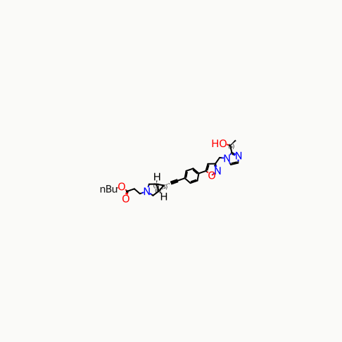 CCCCOC(=O)CCN1C[C@@H]2[C@@H](C#Cc3ccc(-c4cc(Cn5ccnc5[C@H](C)O)no4)cc3)[C@@H]2C1